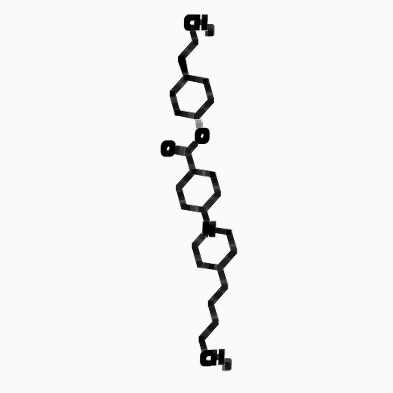 CCCCCC1CCN(C2CCC(C(=O)O[C@H]3CC[C@H](CCC)CC3)CC2)CC1